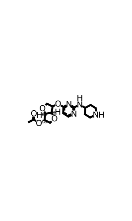 CC(=O)O[C@H]1CO[C@@H]2C(Oc3ccnc(NC4CCNCC4)n3)CO[C@H]12